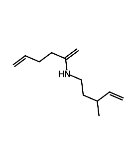 C=CCCC(=C)NCCC(C)C=C